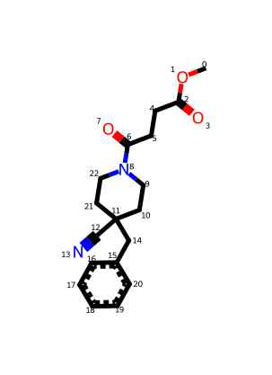 COC(=O)CCC(=O)N1CCC(C#N)(Cc2ccccc2)CC1